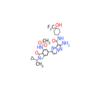 CC(C1CC1)N1Cc2cc(-c3ccn4nc(N)c(C(=O)N[C@H]5CC[C@](O)(C(F)(F)F)CC5)c4n3)cc(NS(C)(=O)=O)c2C1=O